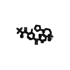 Cc1cc(Nc2ncc3c(n2)N(C2CCCC2)CCC[N+]3(C)[O-])ccc1NC(=O)C(C)(C)C